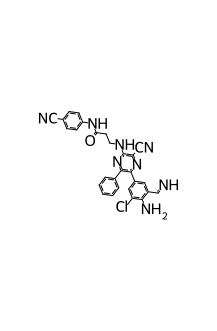 N#Cc1ccc(NC(=O)CCNc2nc(-c3ccccc3)c(-c3cc(Cl)c(N)c(C=N)c3)nc2C#N)cc1